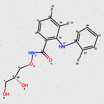 O=C(NOC[C@H](O)CO)c1ccc(F)c(F)c1Nc1ccccc1F